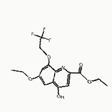 CCOC(=O)c1cc(O)c2cc(OCC)cc(OCC(F)(F)F)c2n1